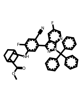 COC(=O)C1C2CCC(CC2)C1Nc1cc(-c2nn(C(c3ccccc3)(c3ccccc3)c3ccccc3)c3ncc(F)cc23)c(C#N)cc1F